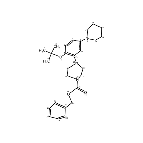 CC(C)(C)Oc1ccc(N2CCCCC2)cc1N1CCN(C(=O)OCc2ccccc2)CC1